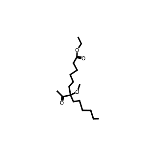 CCCCCCC(CCCCCC(=O)OCC)(OC)C(C)=O